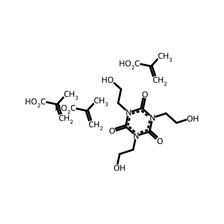 C=C(C)C(=O)O.C=C(C)C(=O)O.C=C(C)C(=O)O.O=c1n(CCO)c(=O)n(CCO)c(=O)n1CCO